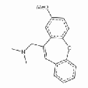 COc1ccc2c(c1)C(CN(C)C)=Cc1ccccc1O2